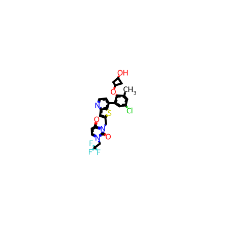 Cc1cc(Cl)cc(-c2ccnc3cc(Cn4c(=O)ccn(CC(F)(F)F)c4=O)sc23)c1OC1CC(O)C1